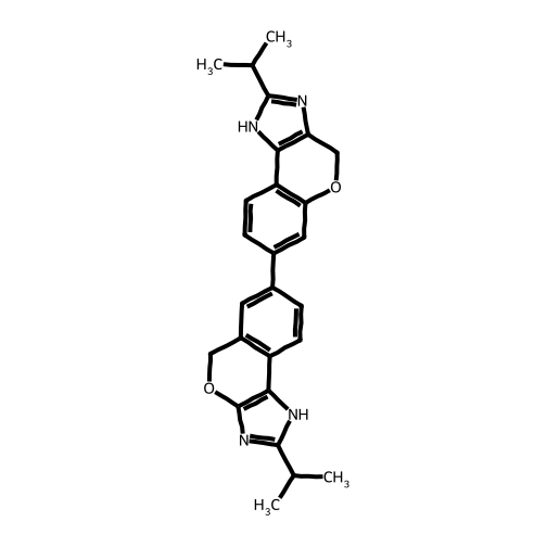 CC(C)c1nc2c([nH]1)-c1ccc(-c3ccc4c(c3)COc3nc(C(C)C)[nH]c3-4)cc1OC2